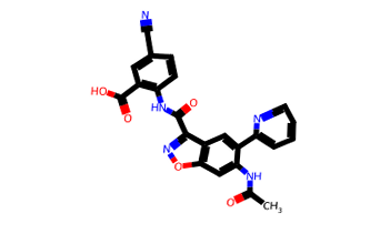 CC(=O)Nc1cc2onc(C(=O)Nc3ccc(C#N)cc3C(=O)O)c2cc1-c1ccccn1